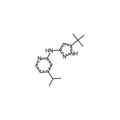 CC(C)c1ccnc(Nc2cc(C(C)(C)C)[nH]n2)c1